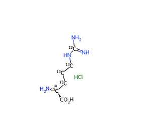 Cl.N=[13C](N)N[13CH2][13CH2][13CH2][13C@H](N)[13C](=O)O